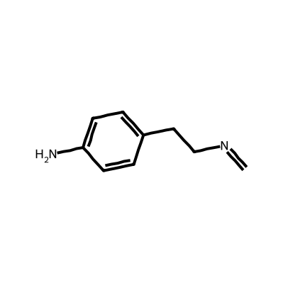 C=NCCc1ccc(N)cc1